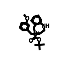 COc1cccc(C[N+]2(C(=O)OC(C)(C)C)CCNc3ccccc3C2)c1